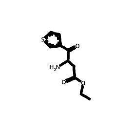 CCOC(=O)CC(N)C(=O)c1ccsc1